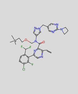 C=Cc1ncc(-c2c(C(F)F)ccc(Cl)c2F)nc1C(=O)N(COCC[Si](C)(C)C)c1cnn(Cc2cnc(N3CCC3)nc2)c1